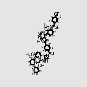 Cc1cccnc1[C@H]1CCC[C@@H](c2ncccc2C)N1CCNC1CN(C(=O)c2ccc(-c3cc4c(-c5cccc(NC(=O)c6ccc(C(F)(F)F)cc6)c5C)ncnc4[nH]3)cc2)C1